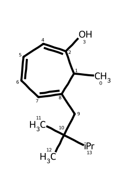 CC1C(O)=CC=CC=C1CC(C)(C)C(C)C